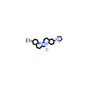 CCc1ccc2c(ccc3c[n+]4c5ccc(N6CCCC6)cc5ccc4n32)c1.[I-]